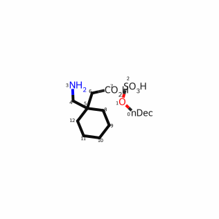 CCCCCCCCCCOS(=O)(=O)O.NCC1(CC(=O)O)CCCCC1